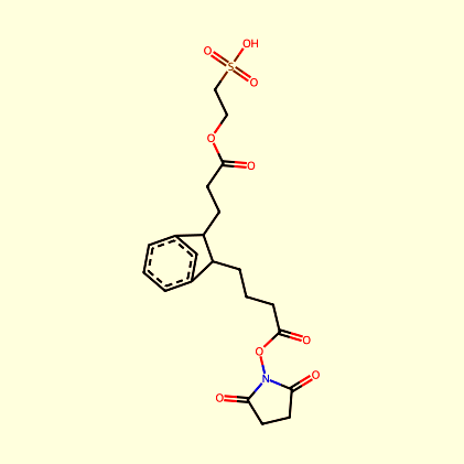 O=C(CCC1c2cccc(c2)C1CCCC(=O)ON1C(=O)CCC1=O)OCCS(=O)(=O)O